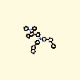 c1ccc(-c2cccc(-c3ccc(N(c4ccc(-c5ccc6ccccc6c5)cc4)c4cccc(-c5cc6ccccc6c6c5c5ccccc5n6-c5ccccc5)c4)cc3)c2)cc1